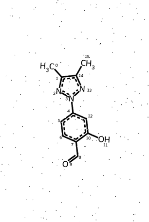 Cc1nn(-c2ccc(C=O)c(O)c2)nc1C